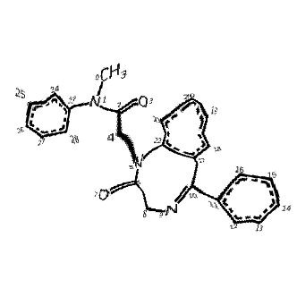 CN(C(=O)CN1C(=O)CN=C(c2ccccc2)c2ccccc21)c1ccccc1